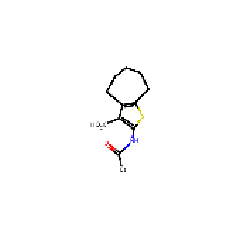 CCC(=O)Nc1sc2c(c1C(=O)O)CCCCC2